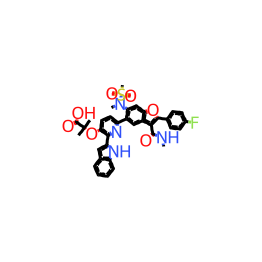 CNC(=O)c1c(-c2ccc(F)cc2)oc2cc(N(C)S(C)(=O)=O)c(-c3ccc(OC(C)(C)C(=O)O)c(-c4cc5ccccc5[nH]4)n3)cc12